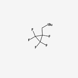 CC(C)(C)CC1(F)C(F)(F)C1(F)F